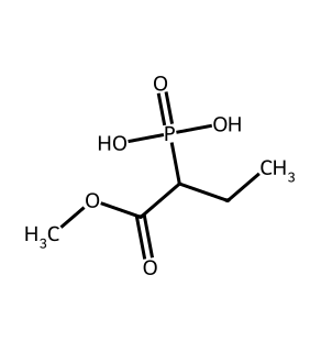 CCC(C(=O)OC)P(=O)(O)O